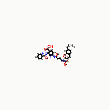 CCc1ccc(CC2SC(=O)N(CCCC(=O)Nc3ccc(C(=O)O)c(NC(=O)c4ccccc4)c3)C2=O)cc1